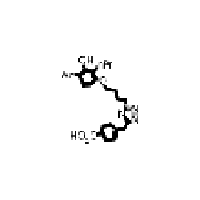 CCCc1c(OCCCCn2nnc(Cc3ccc(C(=O)O)cc3)n2)ccc(C(C)=O)c1O